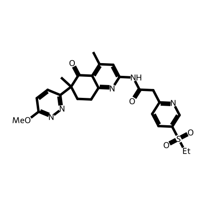 CCS(=O)(=O)c1ccc(CC(=O)Nc2cc(C)c3c(n2)CCC(C)(c2ccc(OC)nn2)C3=O)nc1